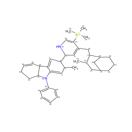 CC1C=C2C(=CC1C1C=C(CC3C(C)CC4CCCC3C4)C(S(C)(C)C)=CN1)C1C=CCCC1N2c1ccccc1